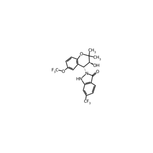 CC1(C)Oc2ccc(OC(F)(F)F)cc2[C@@H](n2[nH]c3cc(C(F)(F)F)ccc3c2=O)[C@@H]1O